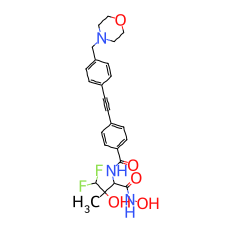 CC(O)(C(F)F)C(NC(=O)c1ccc(C#Cc2ccc(CN3CCOCC3)cc2)cc1)C(=O)NO